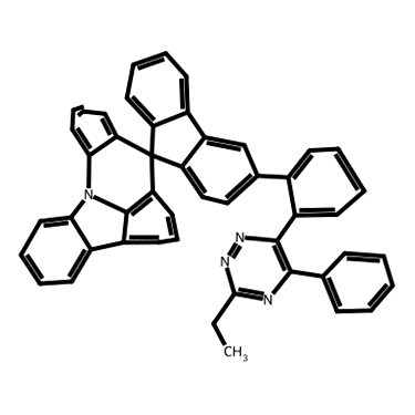 CCc1nnc(-c2ccccc2-c2ccc3c(c2)-c2ccccc2C32c3ccccc3-n3c4ccccc4c4cccc2c43)c(-c2ccccc2)n1